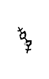 CC(C)(C)c1ccc(-c2ccc(C(C)(C)C)o2)cc1